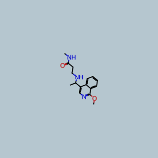 CNC(=O)CCNC(C)c1cnc(OC)c2ccccc12